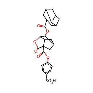 O=C(OC1C2CC3C1OC(=O)C3(C(=O)Oc1ccc(S(=O)(=O)O)cc1)C2)C12CC3CC(CC(C3)C1)C2